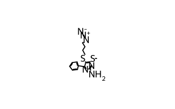 CSc1nc(N)nc(-c2ccccc2)c1SCCCCN=[N+]=[N-]